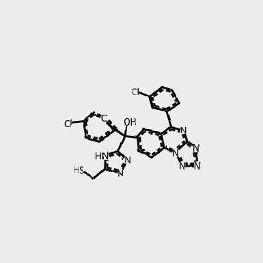 OC(c1ccc(Cl)cc1)(c1ccc2c(c1)c(-c1cccc(Cl)c1)nc1nnnn12)c1nnc(CS)[nH]1